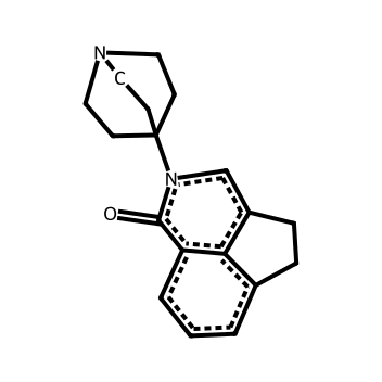 O=c1c2cccc3c2c(cn1C12CCN(CC1)CC2)CC3